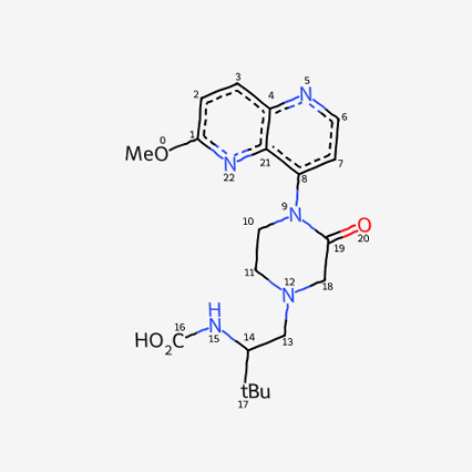 COc1ccc2nccc(N3CCN(CC(NC(=O)O)C(C)(C)C)CC3=O)c2n1